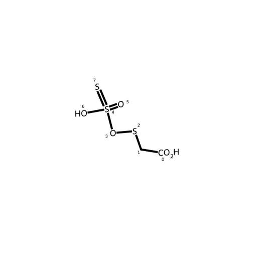 O=C(O)CSOS(=O)(O)=S